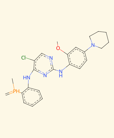 C=[PH](C)c1ccccc1Nc1nc(Nc2ccc(N3CCCCC3)cc2OC)ncc1Cl